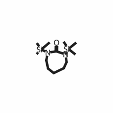 C[Si](C)(C)N1CCCCCN([Si](C)(C)C)C1=O